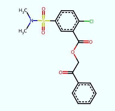 CN(C)S(=O)(=O)c1ccc(Cl)c(C(=O)OCC(=O)c2ccccc2)c1